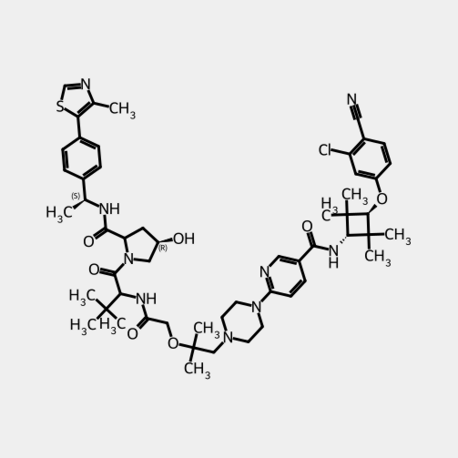 Cc1ncsc1-c1ccc([C@H](C)NC(=O)C2C[C@@H](O)CN2C(=O)C(NC(=O)COC(C)(C)CN2CCN(c3ccc(C(=O)N[C@H]4C(C)(C)[C@H](Oc5ccc(C#N)c(Cl)c5)C4(C)C)cn3)CC2)C(C)(C)C)cc1